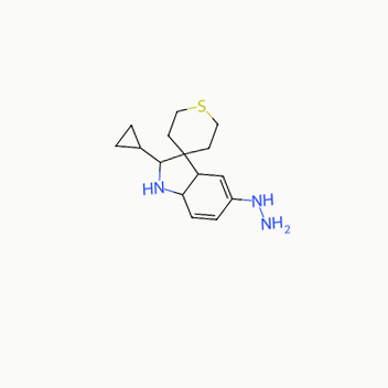 NNC1=CC2C(C=C1)NC(C1CC1)C21CCSCC1